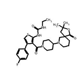 CCNC(=O)Nc1scc(-c2ccc(F)cc2)c1C(=O)N1CCC(N2CCCC3(C2)CC(C)(C)OC3=O)CC1